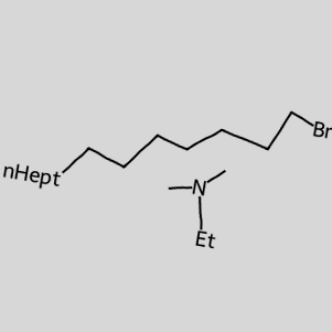 CCCCCCCCCCCCCCBr.CCN(C)C